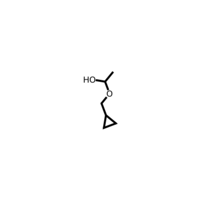 CC(O)OCC1CC1